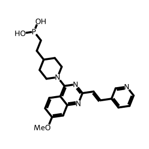 COc1ccc2c(N3CCC(CCP(O)O)CC3)nc(/C=C/c3cccnc3)nc2c1